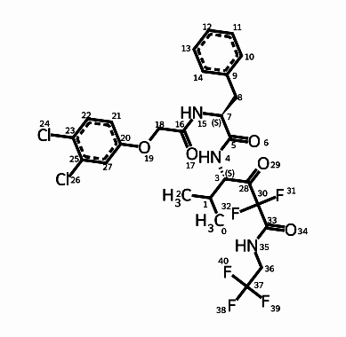 CC(C)[C@H](NC(=O)[C@H](Cc1ccccc1)NC(=O)COc1ccc(Cl)c(Cl)c1)C(=O)C(F)(F)C(=O)NCC(F)(F)F